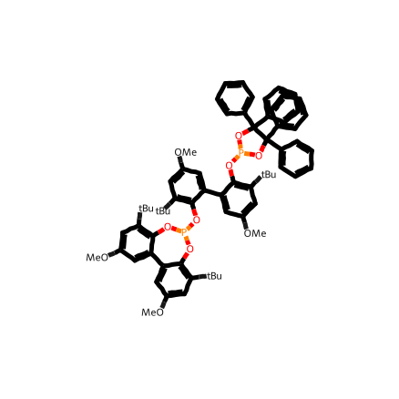 COc1cc(-c2cc(OC)cc(C(C)(C)C)c2Op2oc3c(C(C)(C)C)cc(OC)cc3c3cc(OC)cc(C(C)(C)C)c3o2)c(OP2OC(c3ccccc3)(c3ccccc3)C(c3ccccc3)(c3ccccc3)O2)c(C(C)(C)C)c1